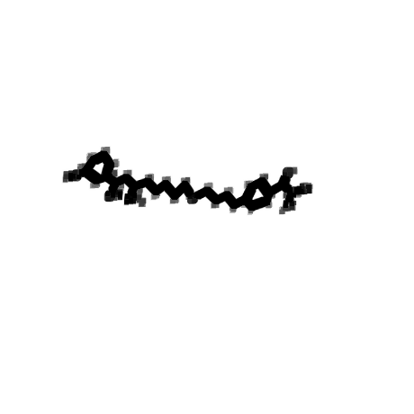 CCN(CC)C(=O)c1ccc(CCCCOCCCCCC(N)CC(O)c2cccc(O)c2)cc1